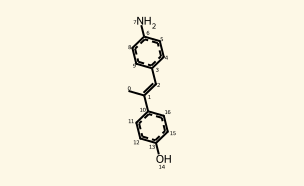 C/C(=C\c1ccc(N)cc1)c1ccc(O)cc1